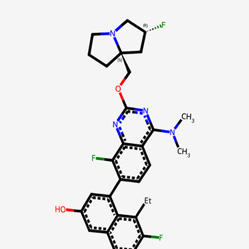 CCc1c(F)ccc2cc(O)cc(-c3ccc4c(N(C)C)nc(OC[C@@]56CCCN5C[C@H](F)C6)nc4c3F)c12